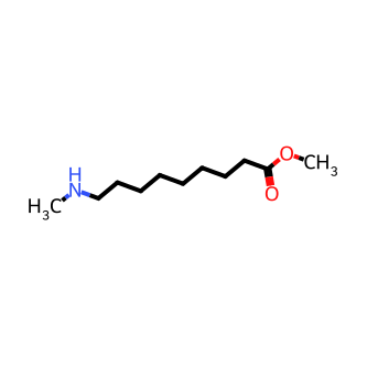 CNCCCCCCCCC(=O)OC